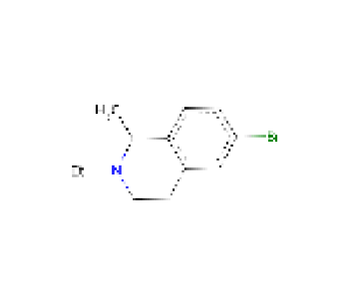 CCN1CCc2cc(Br)ccc2C1C